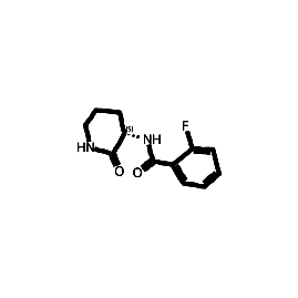 O=C(N[C@H]1CCCNC1=O)c1ccccc1F